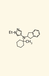 CCn1cc(N(C2Cc3ccccc3C2)C2(C)CCCCC2)cn1